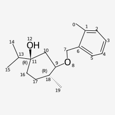 Cc1ccccc1COC1C[C@@](O)(C(C)C)CC[C@H]1C